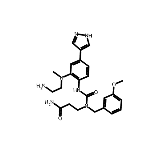 COc1cccc(CN(CCC(N)=O)C(=O)Nc2ccc(-c3cn[nH]c3)cc2N(C)CCN)c1